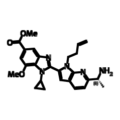 C=CCCn1c(-c2nc3cc(C(=O)OC)cc(OC)c3n2C2CC2)cc2ccc([C@@H](C)N)nc21